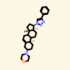 C[C@]12CCC3C(CC=C4C[C@H](N5CCOCC5)CC[C@@]43C)[C@@H]1CC[C@H]2n1cc(-c2ccccc2)nn1